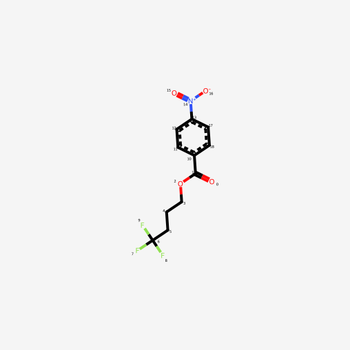 O=C(OCCCC(F)(F)F)c1ccc([N+](=O)[O-])cc1